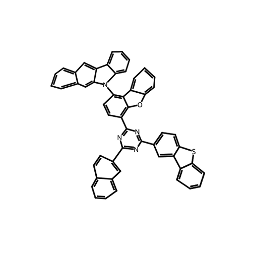 c1ccc2cc(-c3nc(-c4ccc5sc6ccccc6c5c4)nc(-c4ccc(-n5c6ccccc6c6cc7ccccc7cc65)c5c4oc4ccccc45)n3)ccc2c1